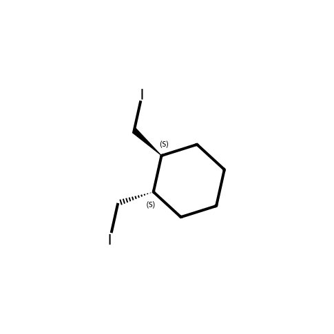 IC[C@H]1CCCC[C@@H]1CI